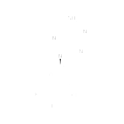 Nc1ncnc2c1ncn2[C@H]1C[C@H](O)C(=C(F)F)O1